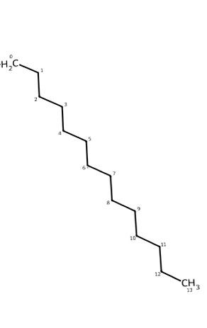 [CH2]CCCCC[CH]CCCCCCC